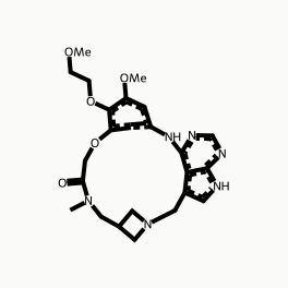 COCCOc1c(OC)cc2cc1OCC(=O)N(C)CC1CN(Cc3c[nH]c4ncnc(c34)N2)C1